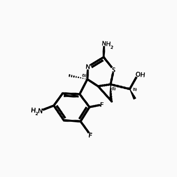 C[C@H](O)[C@]12CC1[C@@](C)(c1cc(N)cc(F)c1F)N=C(N)S2